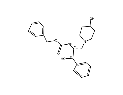 O=C(N[C@H](CN1CCC(O)CC1)[C@H](O)c1ccccc1)OCc1ccccc1